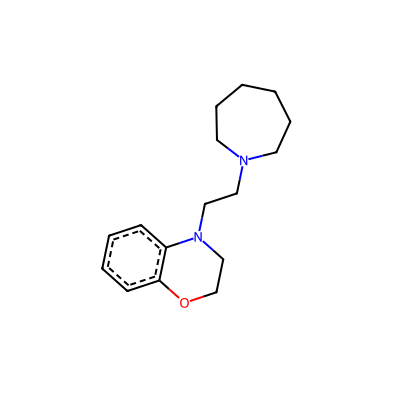 c1ccc2c(c1)OCCN2CCN1CCCCCC1